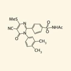 CSc1nc(-c2ccc(S(=O)(=O)NC(C)=O)cc2)n(-c2ccc(C)c(C)c2)c(=O)c1C#N